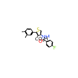 Cc1ccc(-c2scc(NC(=O)c3ccc(F)cc3)c2C(=O)O)cc1C